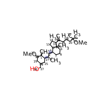 C=C1/C(=C(C)\C=C2/CCC[C@@]3(C)C2CCC3[C@H](C)CCCC(C)(C)OC)C[C@@H](CO)C[C@@H]1OC